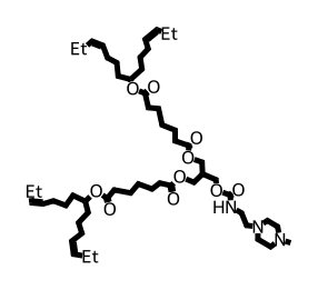 CC/C=C\CCCC(CCC/C=C\CC)OC(=O)CCCCCC(=O)OCC(COC(=O)CCCCCC(=O)OC(CCC/C=C\CC)CCC/C=C\CC)COC(=O)NCCN1CCN(C)CC1